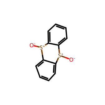 [O-][S+]1c2ccccc2[S+]([O-])c2ccccc21